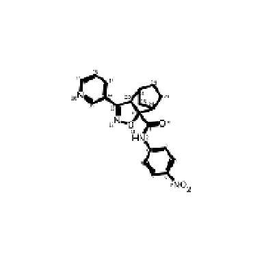 O=C(Nc1ccc([N+](=O)[O-])cc1)C12ON=C(c3cccnc3)C1C1CCC2C1